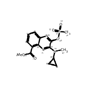 COC(=O)c1cccc2nc(OS(=O)(=O)C(F)(F)F)c(N(C)C3CC3)nc12